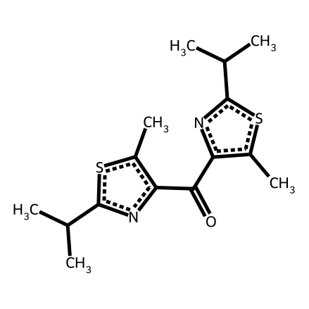 Cc1sc(C(C)C)nc1C(=O)c1nc(C(C)C)sc1C